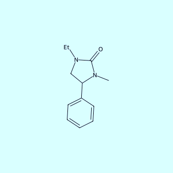 CCN1CC(c2ccccc2)N(C)C1=O